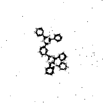 c1ccc(-c2nc(-c3ccccc3)nc(-c3cccc(-c4nc(-c5ccccc5)c5c(n4)c4ccccc4n5-c4ccccc4)c3)n2)cc1